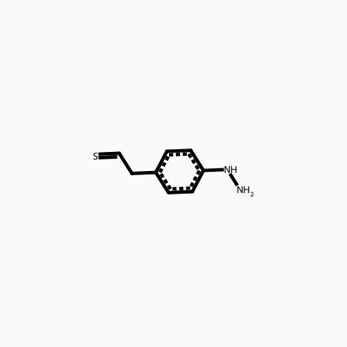 NNc1ccc(CC=S)cc1